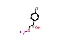 O[C@H](COP)c1ccc(Cl)cc1